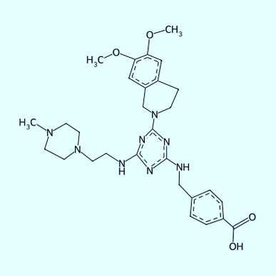 COc1cc2c(cc1OC)CN(c1nc(NCCN3CCN(C)CC3)nc(NCc3ccc(C(=O)O)cc3)n1)CC2